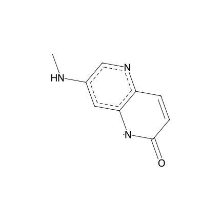 CNc1cnc2c(c1)[N]C(=O)C=C2